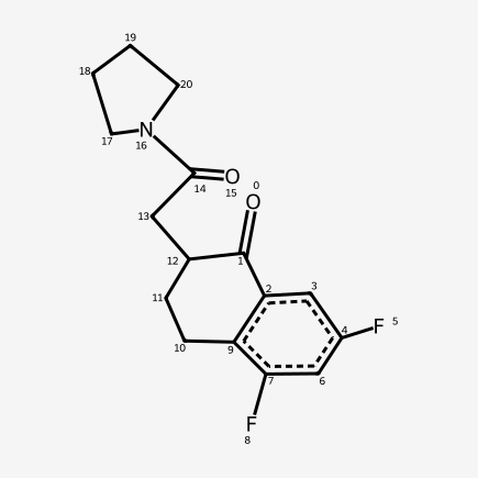 O=C1c2cc(F)cc(F)c2CCC1CC(=O)N1CCCC1